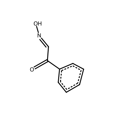 O=C(/C=N/O)c1ccccc1